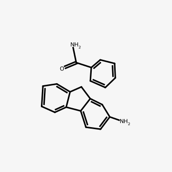 NC(=O)c1ccccc1.Nc1ccc2c(c1)Cc1ccccc1-2